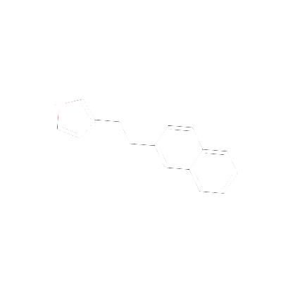 c1ccc2cc(CCc3ccoc3)ccc2c1